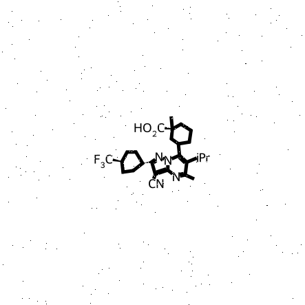 Cc1nc2c(C#N)c([C@H]3CC[C@H](C(F)(F)F)CC3)nn2c(C2CCC[C@](C)(C(=O)O)C2)c1C(C)C